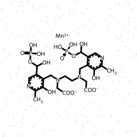 Cc1ncc(C(O)OP(=O)(O)O)c(CN(CCN(CC(=O)[O-])Cc2c(C(O)OP(=O)(O)O)cnc(C)c2O)CC(=O)[O-])c1O.[Mn+2]